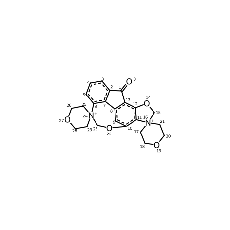 O=C1c2cccc3c2-c2cc(c4c(c21)OC[N+]41CCOCC1)OC[N+]31CCOCC1